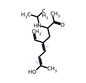 C=C/C(=C\C=C(/C)O)CC(NC(C)C)C(C)=O